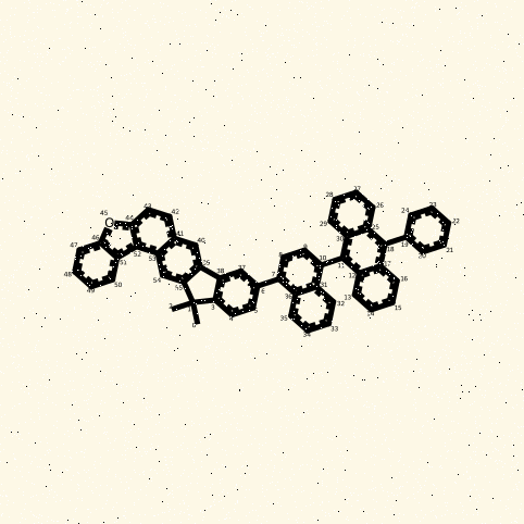 CC1(C)c2ccc(-c3ccc(-c4c5ccccc5c(-c5ccccc5)c5ccccc45)c4ccccc34)cc2-c2cc3ccc4oc5ccccc5c4c3cc21